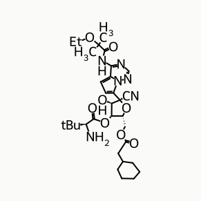 CCOC(C)(C)C(=O)Nc1ncnn2c([C@]3(C#N)O[C@H](COC(=O)CC4CCCCC4)[C@@H](OC(=O)[C@@H](N)C(C)(C)C)[C@H]3O)ccc12